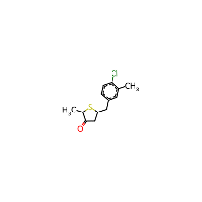 Cc1cc(CC2CC(=O)C(C)S2)ccc1Cl